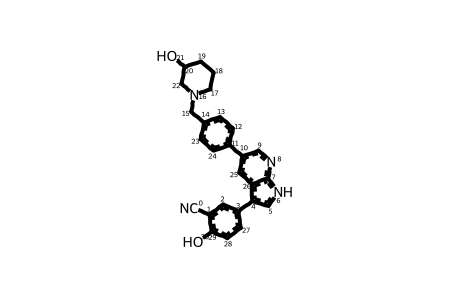 N#Cc1cc(-c2c[nH]c3ncc(-c4ccc(CN5CCCC(O)C5)cc4)cc23)ccc1O